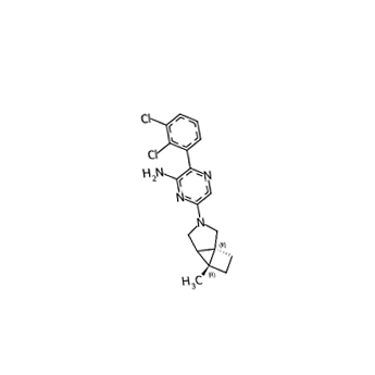 C[C@]12CC[C@]13CN(c1cnc(-c4cccc(Cl)c4Cl)c(N)n1)CC32